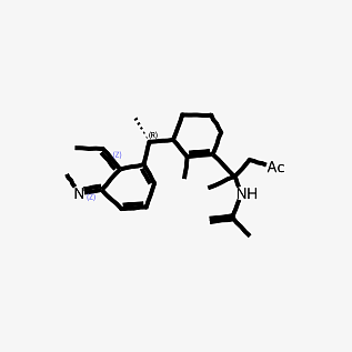 C=C(C)NC(C)(CC(C)=O)C1=C(C)C([C@@H](C)C2=CC=CC(=N/C)/C2=C\C)CCC1